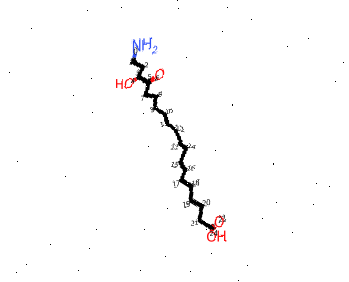 NCCC(O)C(=O)CCCCCCCCCCCCCCCC(=O)O